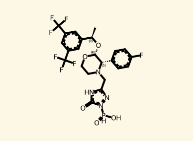 C[C@@H](O[C@H]1OCCN(Cc2nn([PH](=O)O)c(=O)[nH]2)[C@H]1c1ccc(F)cc1)c1cc(C(F)(F)F)cc(C(F)(F)F)c1